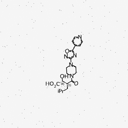 CC(C)C[C@H](C(=O)N1CCN(c2noc(-c3ccncc3)n2)CC1)[C@@H](O)C(=O)O